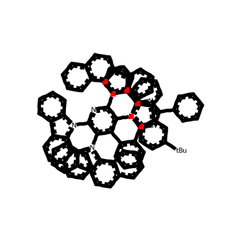 CC(C)(C)c1ccc2c(c1)c1ccccc1n2-c1c(-n2c3ccccc3c3ccc4ccccc4c32)nc(-n2c3ccccc3c3ccc4ccccc4c32)c(-n2c3ccccc3c3ccc4ccccc4c32)c1-c1ccccc1-c1nc(-c2ccccc2)nc(-c2ccccc2)n1